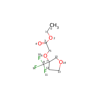 CCOC(=O)COC1(C(F)(F)F)CCOC1